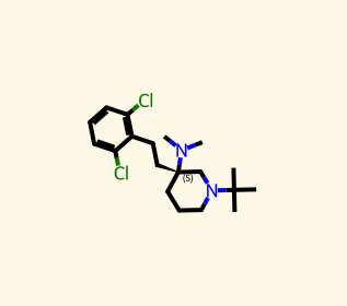 CN(C)[C@@]1(CCc2c(Cl)cccc2Cl)CCCN(C(C)(C)C)C1